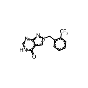 O=c1[nH]cnc2nn(Cc3ccccc3C(F)(F)F)cc12